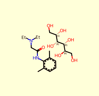 CCN(CC)CC(=O)Nc1c(C)cccc1C.OC[C@@H](O)[C@@H](O)[C@H](O)[C@@H](O)CO